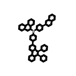 c1ccc(-c2c(-c3ccccc3)c3cc(-c4ccc(N(c5ccc(-c6ccc7ccccc7c6)cc5)c5cc6ccccc6c6ccccc56)cc4)ccc3c3ccccc23)cc1